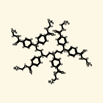 CCOC(=O)c1ccc(N(CCN(CCN(c2ccc(C(=O)OCC)cc2)c2ccc(C(=O)OCC)cc2)c2ccc(C(=O)OCC)cc2)CCN(c2ccc(C(=O)OCC)cc2)c2ccc(C(=O)OCC)cc2)cc1